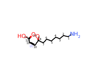 NCCCCCCCC(=O)/C=C\C(=O)O